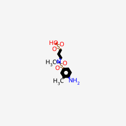 Cc1cc(S(=O)(=O)N(C)CCCS(=O)(=O)O)ccc1N